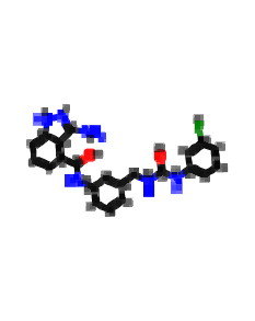 Nc1n[nH]c2cccc(C(=O)Nc3cccc(CNC(=O)Nc4cccc(F)c4)c3)c12